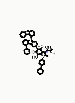 C=C(O)/C(O)=c1\c(=C)n(-c2ccc(-c3ccccc3)cc2)c2c(O)c(O)c(-c3ccc4c(c3)c3c(-c5ccccc5)cccc3n4-c3cccc4sc5ccccc5c34)c(O)c12